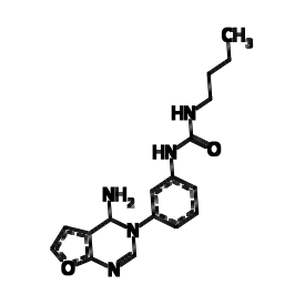 CCCCNC(=O)Nc1cccc(N2C=Nc3occc3C2N)c1